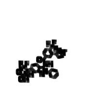 Cn1ccc(-c2cc(C(=O)Nc3c4ccc(C(NC(=O)O)C(F)(F)F)cc4nn3-c3ccccc3)ccc2C(F)(F)F)n1